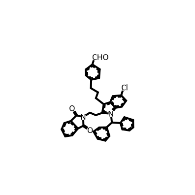 O=Cc1ccc(CCCc2c(CCN3C(=O)c4ccccc4C3=O)n(C(c3ccccc3)c3ccccc3)c3ccc(Cl)cc23)cc1